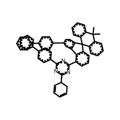 CC1(C)c2ccccc2C2(c3ccc(-c4ccc(-c5ccccc5)cc4)cc3-c3c(-c4nc(-c5ccc(-c6ccccc6)cc5)nc(C5C=CC=CC5)n4)cccc32)c2ccccc21